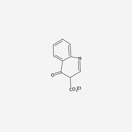 CCOC(=O)C1C=Nc2ccccc2C1=O